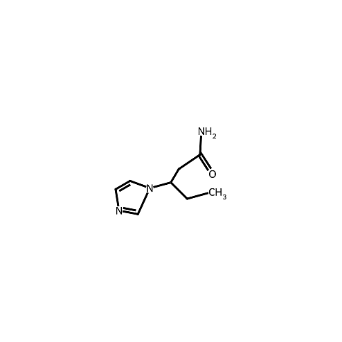 CCC(CC(N)=O)n1ccnc1